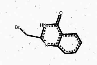 O=c1[nH]c(CBr)nc2ccccc12